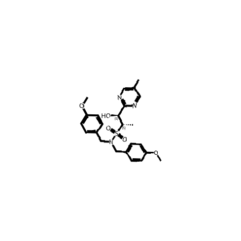 COc1ccc(CN(Cc2ccc(OC)cc2)S(=O)(=O)[C@@H](C)[C@@H](O)c2ncc(C)cn2)cc1